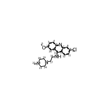 COc1ccc2nc3cc(Cl)ccc3c(NCCN3CCN(C)CC3)c2c1